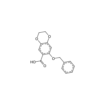 O=C(O)c1cc2c(cc1OCc1ccccc1)OCCO2